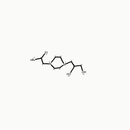 CCCCC(CC)CN1CCN(CC(O)CO)CC1